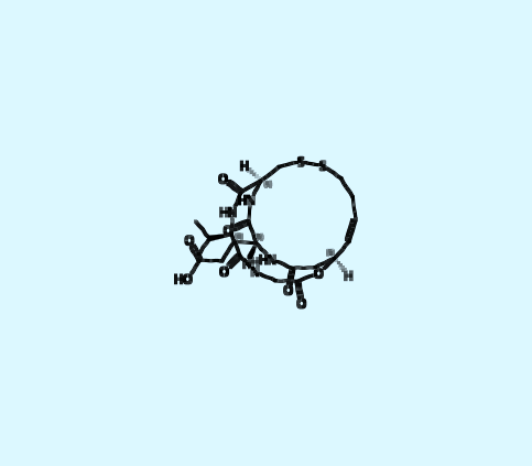 CC(C)[C@H]1NC(=O)[C@H]2CSSCCC=C[C@H](CC(=O)N[C@H](CCC(=O)O)C(=O)N2)OC(=O)CNC1=O